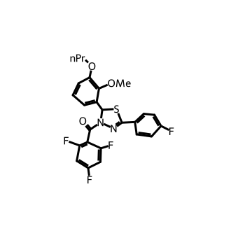 CCCOc1cccc(C2SC(c3ccc(F)cc3)=NN2C(=O)c2c(F)cc(F)cc2F)c1OC